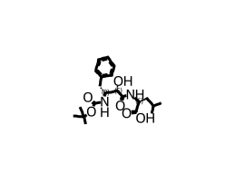 CC(C)C[C@H](NC(=O)[C@@H](O)[C@@H](Cc1ccccc1)NC(=O)OC(C)(C)C)C(=O)O